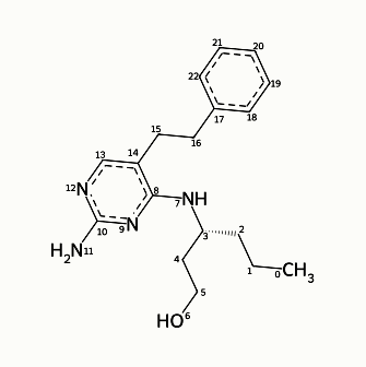 CCC[C@H](CCO)Nc1nc(N)ncc1CCc1ccccc1